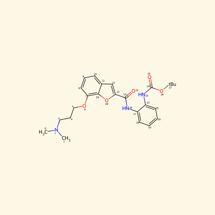 CN(C)CCCOc1cccc2cc(C(=O)Nc3ccccc3NC(=O)OC(C)(C)C)oc12